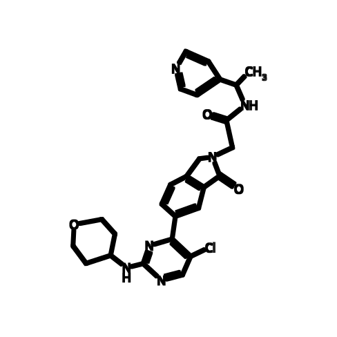 CC(NC(=O)CN1Cc2ccc(-c3nc(NC4CCOCC4)ncc3Cl)cc2C1=O)c1ccncc1